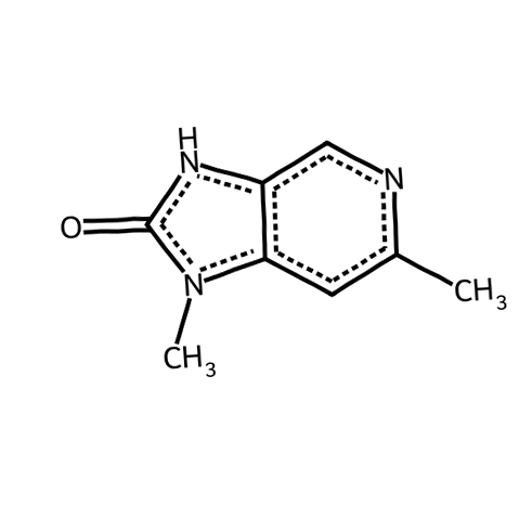 Cc1cc2c(cn1)[nH]c(=O)n2C